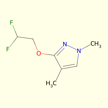 Cc1cn(C)nc1OCC(F)F